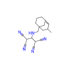 CC1C=C2CCCC(CNC(C(C#N)C#N)C(C#N)C#N)(C2)C1